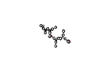 c1ccc(-c2ccc(N(c3ccc(C45CC6CC(C4)C(c4ccc(N(c7ccc(-c8ccccc8)cc7)c7ccc8cc(N(c9ccc(-c%10ccccc%10)cc9)c9ccc(C%10%11CC%12CC(CC(C%12)C%10)C%11)cc9)ccc8c7)cc4)C(C6)C5)cc3)c3cccc(N(c4ccccc4)c4ccc5c(c4)oc4ccccc45)c3)cc2)cc1